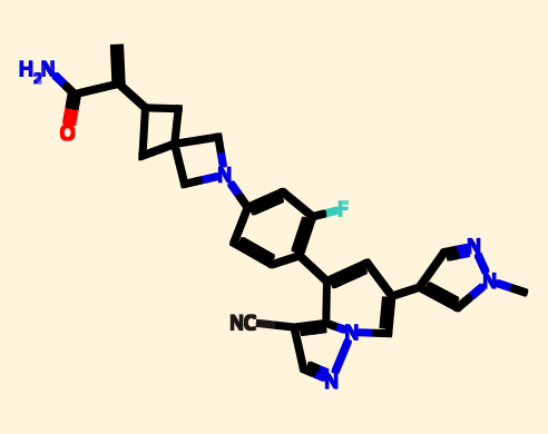 C=C(C(N)=O)C1CC2(C1)CN(c1ccc(-c3cc(-c4cnn(C)c4)cn4ncc(C#N)c34)c(F)c1)C2